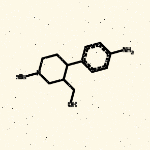 CCCCN1CCC(c2ccc(N)cc2)C(CO)C1